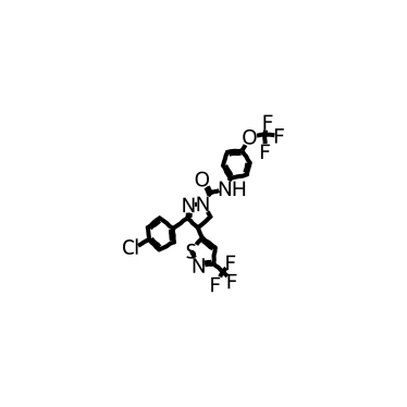 O=C(Nc1ccc(OC(F)(F)F)cc1)N1CC(c2cc(C(F)(F)F)ns2)C(c2ccc(Cl)cc2)=N1